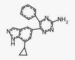 Nc1nnc(-c2cc(C3CC3)c3[nH]ncc3c2)c(-c2ccccc2)n1